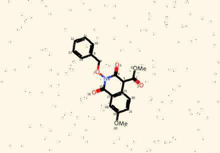 COC(=O)C1C(=O)N(OCc2ccccc2)C(=O)c2cc(OC)ccc21